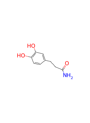 NC(=O)CCc1ccc(O)c(O)c1